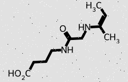 C/C=C(/C)NCC(=O)NCCCC(=O)O